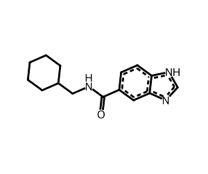 O=C(NCC1CCCCC1)c1ccc2[nH]cnc2c1